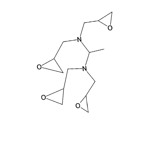 CC(N(CC1CO1)CC1CO1)N(CC1CO1)CC1CO1